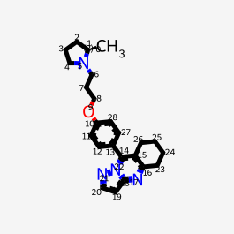 C[C@@H]1CCCN1CCCOc1ccc(-c2c3c(nc4ccnn24)CCCC3)cc1